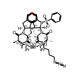 CC(C)[Si]1(C(C)C)O[C@]2(C)C(=O)N3[C@H]4Cc5ccccc5[C@@]4([C@]45C[C@]67O[Si](C(C)C)(C(C)C)O[C@](C)(C(=O)N6[C@H]4N(S(=O)(=O)c4ccccc4)c4ccccc45)N(CCCCN=[N+]=[N-])C7=O)C[C@@]3(O1)C(=O)N2C